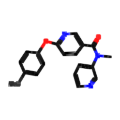 COc1ccc(Oc2ccc(C(=O)N(C)c3cccnc3)cn2)cc1